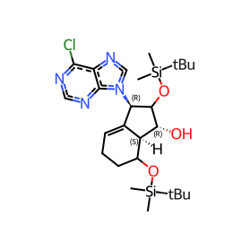 CC(C)(C)[Si](C)(C)OC1CCC=C2[C@H]1[C@@H](O)C(O[Si](C)(C)C(C)(C)C)[C@@H]2n1cnc2c(Cl)ncnc21